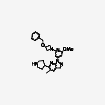 COc1cc(-n2ncc3cc(C)c(C4CCNCC4)nc32)cc(N2CC(OCc3ccccc3)C2)n1